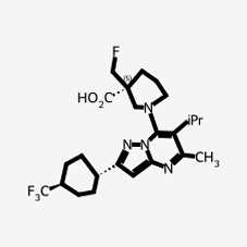 Cc1nc2cc([C@H]3CC[C@H](C(F)(F)F)CC3)nn2c(N2CCC[C@@](CF)(C(=O)O)C2)c1C(C)C